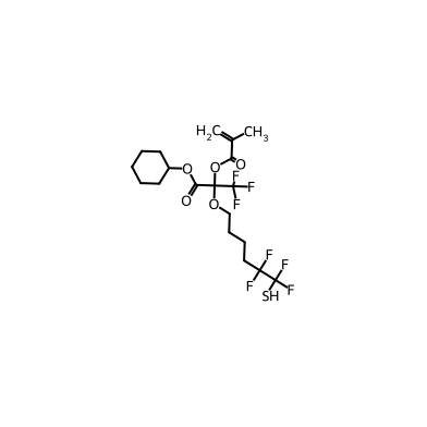 C=C(C)C(=O)OC(OCCCCC(F)(F)C(F)(F)S)(C(=O)OC1CCCCC1)C(F)(F)F